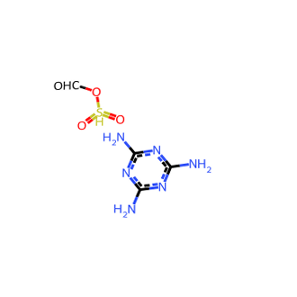 Nc1nc(N)nc(N)n1.O=CO[SH](=O)=O